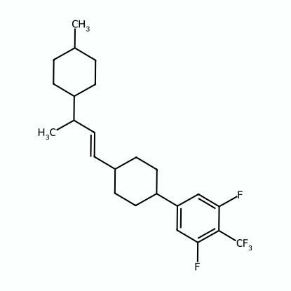 CC1CCC(C(C)C=CC2CCC(c3cc(F)c(C(F)(F)F)c(F)c3)CC2)CC1